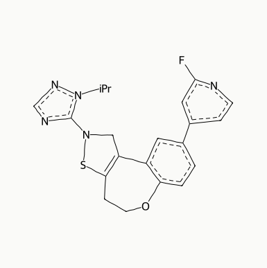 CC(C)n1ncnc1N1CC2=C(CCOc3ccc(-c4ccnc(F)c4)cc32)S1